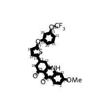 COc1ccc2c(=O)c3c([nH]c2c1)CC(c1ccc(Oc2cccc(OC(F)(F)F)c2)s1)CC3=O